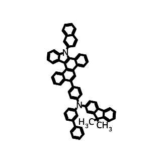 CC1(C)c2ccccc2-c2ccc(N(c3ccc(-c4cc5c6ccccc6c6c(c7ccccc7n6-c6ccc7ccccc7c6)c5c5ccccc45)cc3)c3cccc(-c4ccccc4)c3)cc21